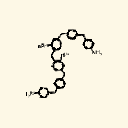 CCCc1cc(Cc2ccc(Cc3ccc(N)cc3)cc2)ccc1Cc1ccc(Cc2ccc(Cc3ccc(N)cc3)cc2)cc1CCC